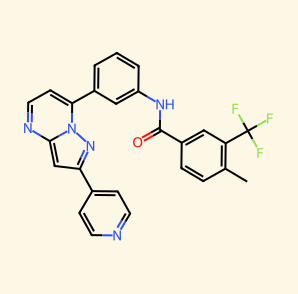 Cc1ccc(C(=O)Nc2cccc(-c3ccnc4cc(-c5ccncc5)nn34)c2)cc1C(F)(F)F